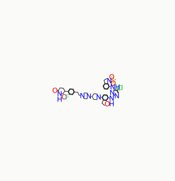 CS(=O)(=O)N1CCc2cccc(Nc3nc(Nc4ccc(N5CCC(N6CCN(CCc7ccc(C8CCC(=O)NC8=O)c(F)c7)CC6)CC5)c5c4OCC5)ncc3Cl)c21